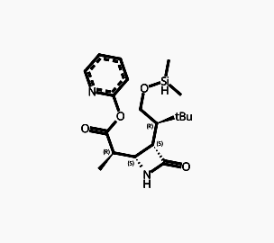 C[C@@H](C(=O)Oc1ccccn1)[C@H]1NC(=O)[C@H]1[C@@H](CO[SiH](C)C)C(C)(C)C